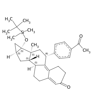 CC(=O)c1ccc([C@H]2C[C@@]3(C)[C@@H](C[C@H]4C[C@]43O[Si](C)(C)C(C)(C)C)[C@@H]3CCC4=CC(=O)CCC4=C32)cc1